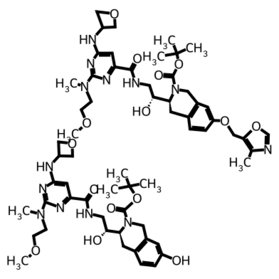 COCCN(C)c1nc(NC2COC2)cc(C(=O)NC[C@@H](O)[C@@H]2Cc3ccc(O)cc3CN2C(=O)OC(C)(C)C)n1.COCCN(C)c1nc(NC2COC2)cc(C(=O)NC[C@@H](O)[C@@H]2Cc3ccc(OCc4ocnc4C)cc3CN2C(=O)OC(C)(C)C)n1